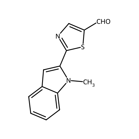 Cn1c(-c2ncc(C=O)s2)cc2ccccc21